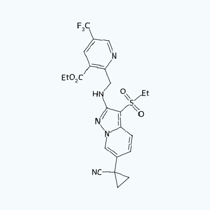 CCOC(=O)c1cc(C(F)(F)F)cnc1CNc1nn2cc(C3(C#N)CC3)ccc2c1S(=O)(=O)CC